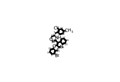 Cc1ccc(C[C@@H]2CON=C(c3c(Oc4cccc(Br)c4F)cnc4ccccc34)N2)c(Cl)c1